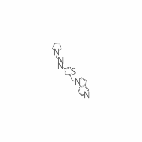 c1cc2c(ccn2Cc2cc(N=NCN3CCCC3)cs2)cn1